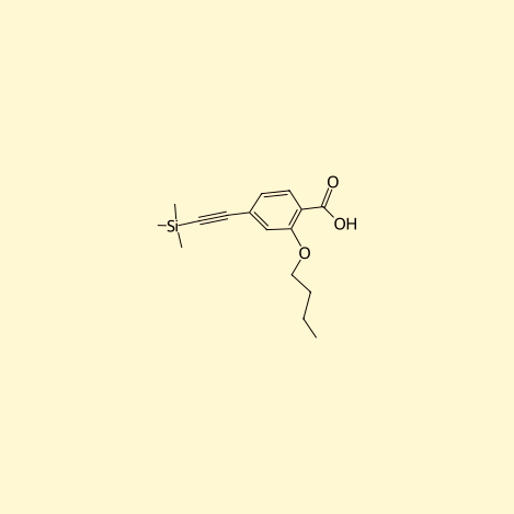 CCCCOc1cc(C#C[Si](C)(C)C)ccc1C(=O)O